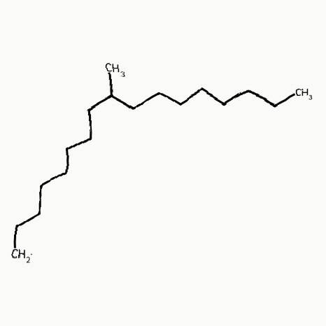 [CH2]CCCCCCCC(C)CCCCCCCC